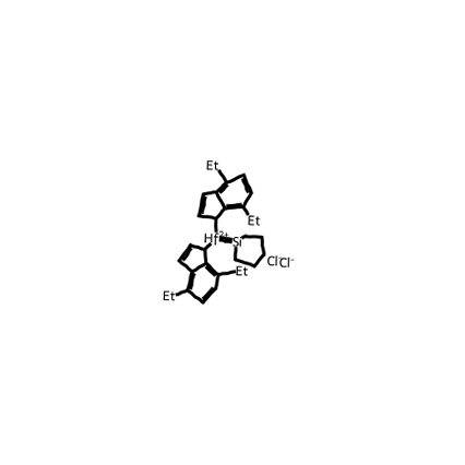 CCc1ccc(CC)c2c1C=C[CH]2[Hf+2]([CH]1C=Cc2c(CC)ccc(CC)c21)=[Si]1CCCCC1.[Cl-].[Cl-]